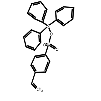 C=Cc1ccc(S(=O)(=O)OS(c2ccccc2)(c2ccccc2)c2ccccc2)cc1